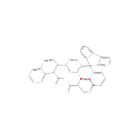 N=C(OC(=N)c1c(-c2ccc3c(c2)Oc2ccccc2C32c3ccccc3-c3ccccc32)ccc2ccccc12)c1ccccc1